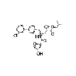 CC(C)COC(=O)C(O)CN(Cc1ccc(-c2cccc(Cl)c2)cc1)NC(=O)c1cc(O)no1